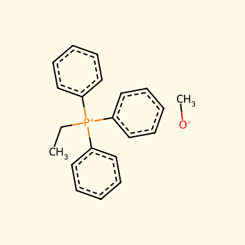 CC[P+](c1ccccc1)(c1ccccc1)c1ccccc1.C[O-]